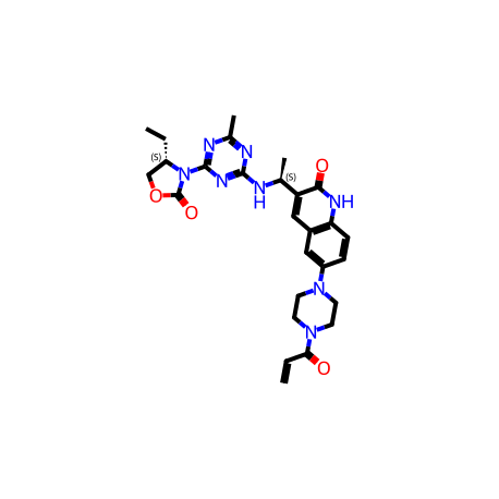 C=CC(=O)N1CCN(c2ccc3[nH]c(=O)c([C@H](C)Nc4nc(C)nc(N5C(=O)OC[C@@H]5CC)n4)cc3c2)CC1